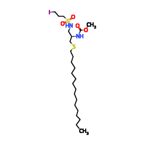 CCCCCCCCCCCCCCCCSCC(CNS(=O)(=O)CCCI)NC(=O)OC